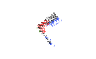 CCCCN.CCCCN.CCCCN.CCCCN.CCCCN.CCCCN.CCCCN.CCCCN.OB(O)F.OB(O)F.OB(O)F.OB(O)F